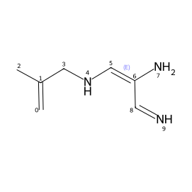 C=C(C)CN/C=C(/N)C=N